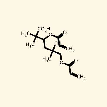 C=CC(=O)OCC(C)(C)CC(OC(=O)C=C)C(C)(C)C(=O)O